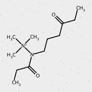 CCC(=O)CCCN(C(=O)CC)[N+](C)(C)C